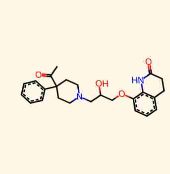 CC(=O)C1(c2ccccc2)CCN(CC(O)COc2cccc3c2NC(=O)CC3)CC1